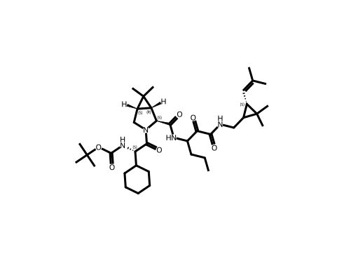 CCCC(NC(=O)[C@@H]1[C@@H]2[C@H](CN1C(=O)[C@@H](NC(=O)OC(C)(C)C)C1CCCCC1)C2(C)C)C(=O)C(=O)NCC1[C@H](C=C(C)C)C1(C)C